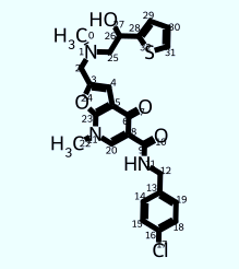 CN(Cc1cc2c(=O)c(C(=O)NCc3ccc(Cl)cc3)cn(C)c2o1)CC(O)c1cccs1